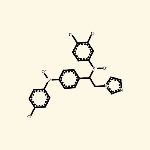 [O-][S+](c1ccc(Cl)cc1)c1ccc(C(Cn2ccnc2)[S+]([O-])c2ccc(Cl)c(Cl)c2)cc1